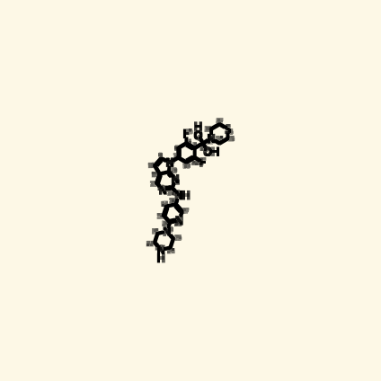 OC(O)(c1c(F)cc(-n2ccc3cnc(Nc4ccc(N5CCNCC5)nc4)nc32)cc1F)N1CCSCC1